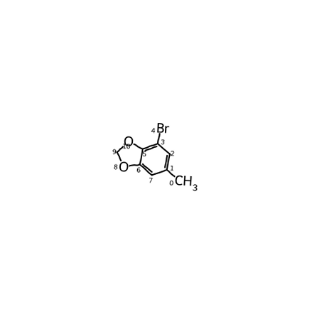 Cc1cc(Br)c2c(c1)OCO2